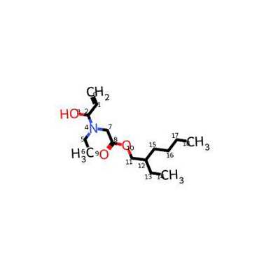 C=CC(O)N(CC)CC(=O)OCC(CC)CCCC